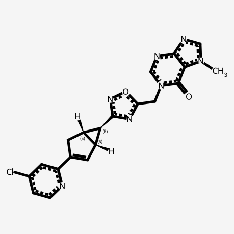 Cn1cnc2ncn(Cc3nc([C@H]4[C@@H]5C=C(c6cc(Cl)ccn6)C[C@@H]54)no3)c(=O)c21